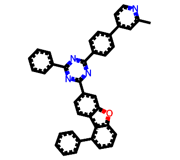 Cc1cc(-c2ccc(-c3nc(-c4ccccc4)nc(-c4ccc5c(c4)oc4cccc(-c6ccccc6)c45)n3)cc2)ccn1